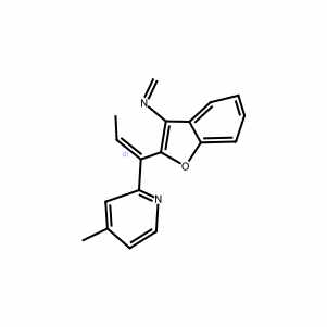 C=Nc1c(/C(=C\C)c2cc(C)ccn2)oc2ccccc12